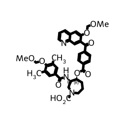 COCOc1cc2cccnc2cc1C(=O)c1ccc(C(=O)O[C@@H]2CCCN(C(=O)O)C[C@H]2NC(=O)c2cc(C)c(OCOC)c(C)c2)cc1